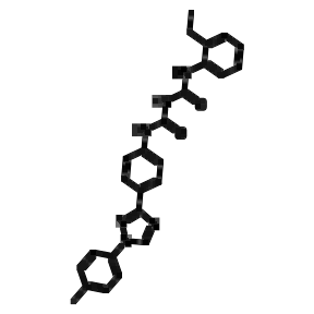 CCc1ccccc1NC(=O)NC(=O)Nc1ccc(-c2ncn(-c3ccc(C)cc3)n2)cc1